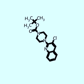 CC(C)(C)OC(=O)N1CCN(c2nc3ccccc3cc2Cl)CC1